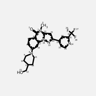 Cn1c(=O)c2ccc(N3CCC(CO)CC3)cc2n2nc(-c3ccnc(C(F)(F)F)c3)cc12